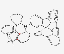 CC1(C)c2ccccc2-c2c(N(c3ccc4c(c3)C3(c5ccccc5-4)c4ccccc4-c4cccc5ccc(-c6ccccc6)c3c45)c3ccccc3-c3ccccc3)cccc21